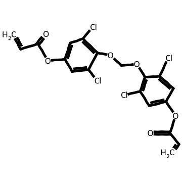 C=CC(=O)Oc1cc(Cl)c(OCOc2c(Cl)cc(OC(=O)C=C)cc2Cl)c(Cl)c1